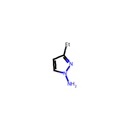 CCc1ccn(N)n1